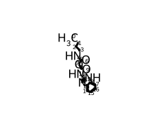 CCCCNC(=O)OC(=O)Nc1nc2ccccc2[nH]1